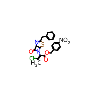 CC(Cl)=C(C(=O)OCc1ccc([N+](=O)[O-])cc1)N1C(=O)C2N=C(CC3=CC=CCC3)SC21